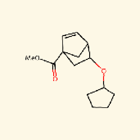 COC(=O)C12C=CC(C1)C(OC1CCCC1)C2